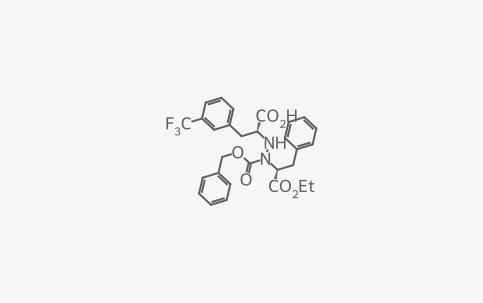 CCOC(=O)[C@H](Cc1ccccc1)N(N[C@@H](Cc1cccc(C(F)(F)F)c1)C(=O)O)C(=O)OCc1ccccc1